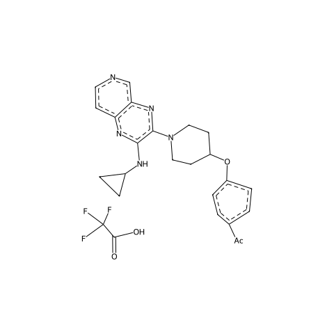 CC(=O)c1ccc(OC2CCN(c3nc4cnccc4nc3NC3CC3)CC2)cc1.O=C(O)C(F)(F)F